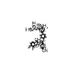 C[C@H](NC(=O)c1nc(C#N)cnc1NCc1ccc(-c2cnc(N)c(NCC(O)CO)n2)cc1)c1ccc(F)c(F)c1